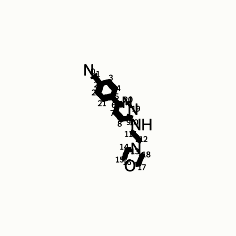 N#Cc1ccc(-c2ccc(NCCN3CCOCC3)nn2)cc1